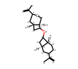 C=C(C)C1CC[C@H]2C(OC3C[C@@H]4CC(C(=C)C)CC[C@@H]34)C[C@@H]2C1